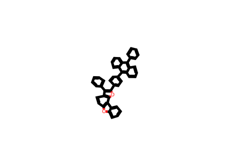 c1ccc(-c2c3ccccc3c(-c3ccc(-c4oc5c(ccc6oc7ccccc7c65)c4-c4ccccc4)cc3)c3ccccc23)cc1